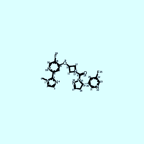 Cn1ccnc1-c1cc(OC2CN(C(=O)N3N=CC[C@H]3c3cncc(F)c3)C2)c(F)cn1